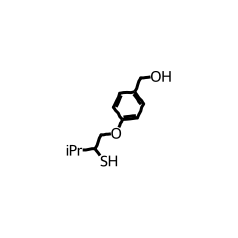 CC(C)C(S)COc1ccc(CO)cc1